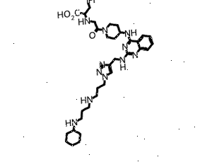 CC(C)CC(NCC(=O)N1CCC(Nc2nc(NCc3cn(CCCNCCCNC4CCCCC4)nn3)nc3ccccc23)CC1)C(=O)O